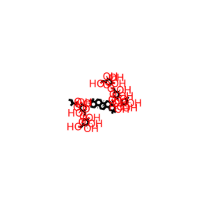 C/C=C(\C)C(=O)O[C@H]1C(O)[C@H](O[C@H]2CC[C@@]3(C)C(CC[C@]4(C)C3CC=C3C5CC(C)(C)[C@@H](O)[C@H](O)[C@]5(CO[C@@H]5OC(CO[C@@H]6OC(CO)[C@@H](O)[C@@H](O)C6O)[C@@H](O)[C@@H](O)C5O[C@@H]5OC(C)[C@H](O)[C@H](O)C5O)CC[C@]34C)C2(C)C)OC(CO[C@@H]2OC(CO)[C@@H](O)[C@@H](O)C2O)[C@H]1O